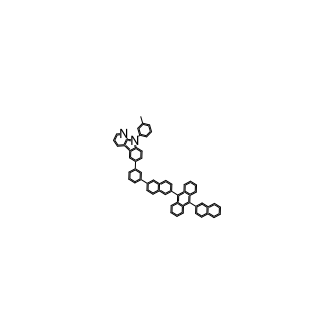 Cc1cccc(-n2c3ccc(-c4cccc(-c5ccc6cc(-c7c8ccccc8c(-c8ccc9ccccc9c8)c8ccccc78)ccc6c5)c4)cc3c3cccnc32)c1